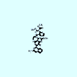 CSc1nc2c3c(nc(-c4nc(N)cc5ccccc45)c(F)c3n1)OCCN2[C@H](C)c1cccnc1N(C(=O)OC(C)(C)C)C(=O)OC(C)(C)C